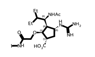 CCC(CC)[C@@H](NC(C)=O)[C@@H]1[C@H](OCC(=O)NI)[C@@H](C(=O)O)C[C@H]1NC(=N)N